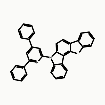 c1ccc(-c2cc(-c3ccccc3)nc(-n3c4ccccc4c4c5sc6ccccc6c5ccc43)c2)cc1